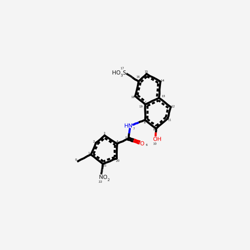 Cc1ccc(C(=O)Nc2c(O)ccc3ccc(S(=O)(=O)O)cc23)cc1[N+](=O)[O-]